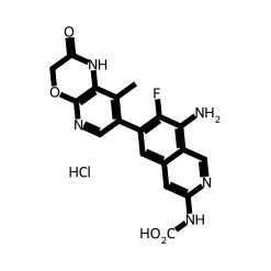 Cc1c(-c2cc3cc(NC(=O)O)ncc3c(N)c2F)cnc2c1NC(=O)CO2.Cl